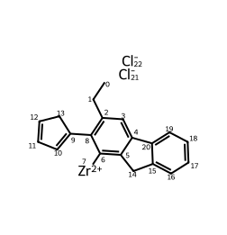 CCc1cc2c([c]([Zr+2])c1C1=CC=CC1)Cc1ccccc1-2.[Cl-].[Cl-]